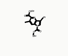 COC(=O)c1nc2c(C(C)C)cn(C(=O)OC(C)(C)C)c2cc1C